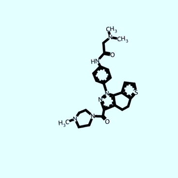 CN(C)CC(=O)Nc1ccc(-n2nc(C(=O)N3CCN(C)CC3)c3c2-c2ccsc2CC3)cc1